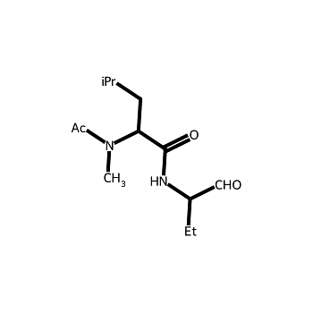 CCC(C=O)NC(=O)C(CC(C)C)N(C)C(C)=O